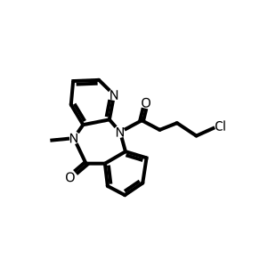 CN1C(=O)c2ccccc2N(C(=O)CCCCl)c2ncccc21